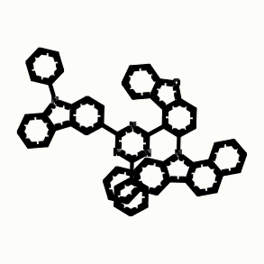 c1ccc(-c2nc(-c3ccc4c(c3)c3ccccc3n4-c3ccccc3)nc(-c3c(-n4c5cc6ccccc6cc5c5ccc6ccccc6c54)ccc4oc5ccccc5c34)n2)cc1